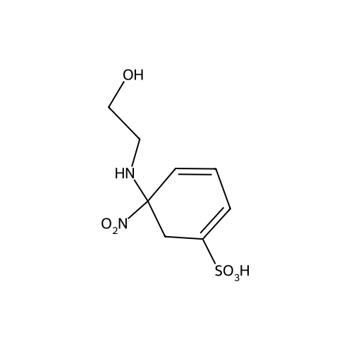 O=[N+]([O-])C1(NCCO)C=CC=C(S(=O)(=O)O)C1